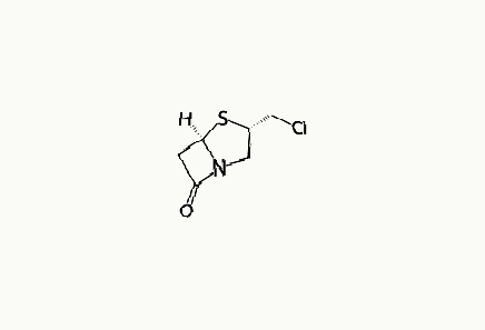 O=C1C[C@H]2S[C@H](CCl)CN12